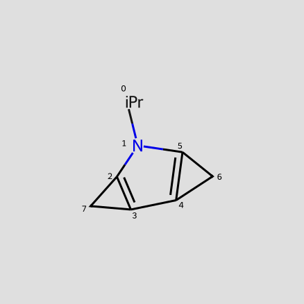 CC(C)n1c2c(c3c1C3)C2